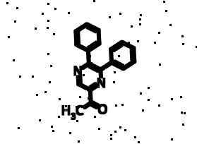 CC(=O)c1cnc(-c2ccccc2)c(-c2ccccc2)n1